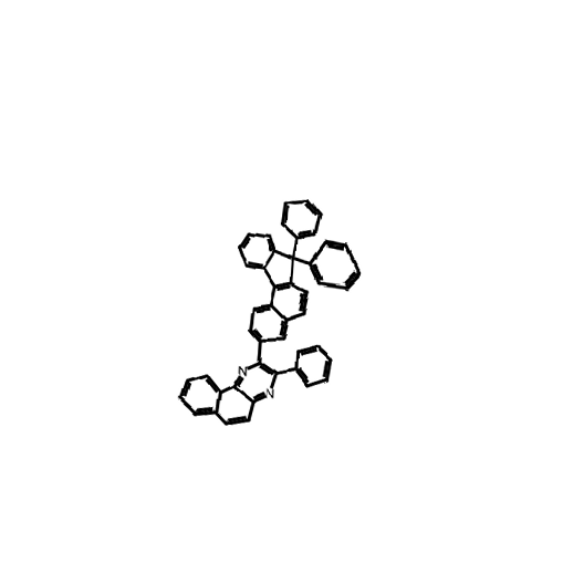 c1ccc(-c2nc3ccc4ccccc4c3nc2-c2ccc3c4c(ccc3c2)C(c2ccccc2)(c2ccccc2)c2ccccc2-4)cc1